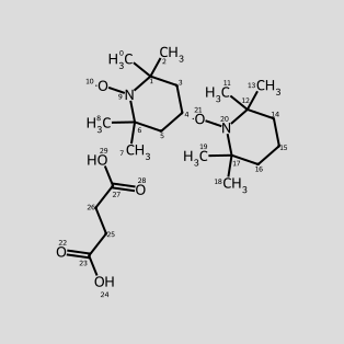 CC1(C)CCCC(C)(C)N1[O].CC1(C)CCCC(C)(C)N1[O].O=C(O)CCC(=O)O